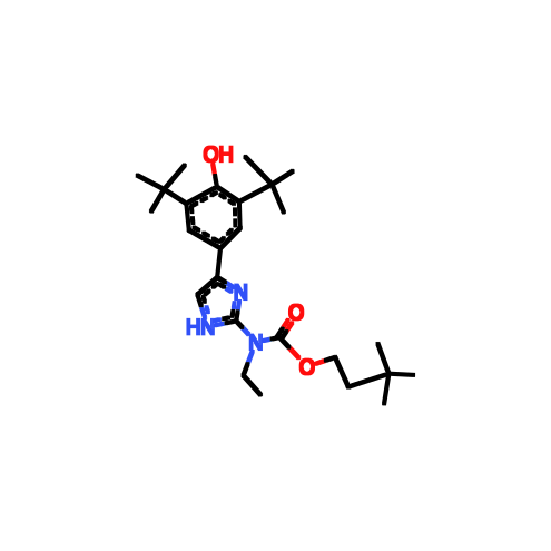 CCN(C(=O)OCCC(C)(C)C)c1nc(-c2cc(C(C)(C)C)c(O)c(C(C)(C)C)c2)c[nH]1